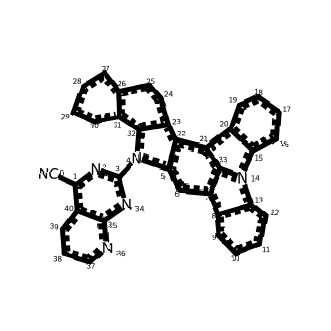 N#Cc1nc(-n2c3cc4c5ccccc5n5c6ccccc6c(c3c3ccc6ccccc6c32)c45)nc2ncccc12